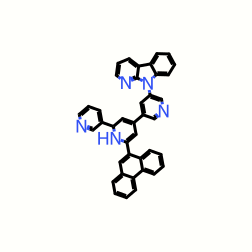 C1=C(c2cncc(-n3c4ccccc4c4cccnc43)c2)C=C(c2cc3ccccc3c3ccccc23)NC1c1cccnc1